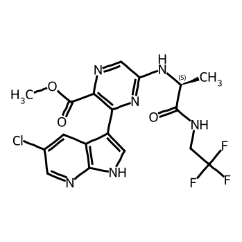 COC(=O)c1ncc(N[C@@H](C)C(=O)NCC(F)(F)F)nc1-c1c[nH]c2ncc(Cl)cc12